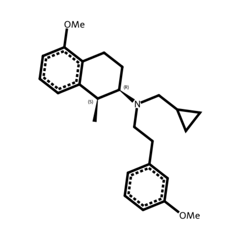 COc1cccc(CCN(CC2CC2)[C@@H]2CCc3c(OC)cccc3[C@@H]2C)c1